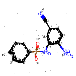 N#Cc1ccc(N)c(NS(=O)(=O)c2ccccc2)c1